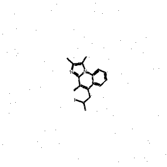 Cc1nc2c(C)c(CC(C)I)c3ccccc3n2c1C